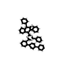 c1ccc(-c2ccc(-c3ccccc3-c3nc(-c4ccccc4)nc(-c4c5ccccc5c(-c5ccccc5)c5sc6ccccc6c45)n3)cc2)cc1